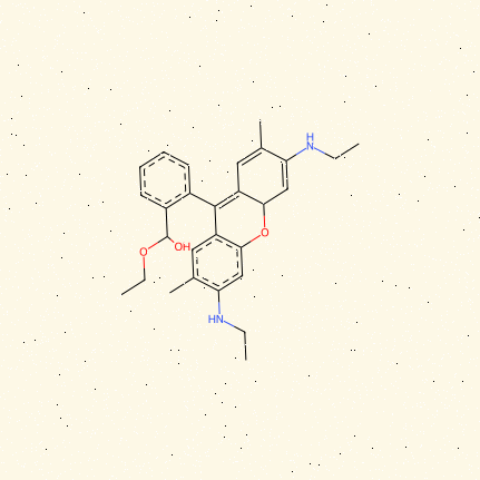 CCNC1=CC2Oc3cc(NCC)c(C)cc3C(c3ccccc3C(O)OCC)=C2C=C1C